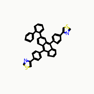 c1ccc(-c2ccccc2-c2ccc3c(-c4ccc(-c5cscn5)cc4)c4ccccc4c(-c4ccc(-c5cscn5)cc4)c3c2)cc1